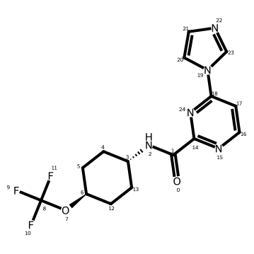 O=C(N[C@H]1CC[C@H](OC(F)(F)F)CC1)c1nccc(-n2ccnc2)n1